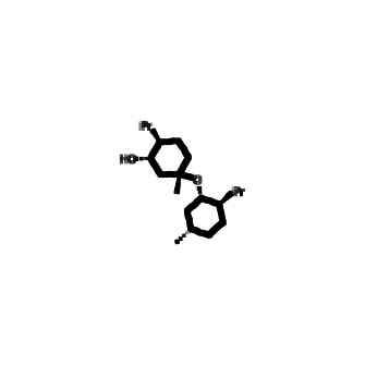 CC(C)[C@H]1CC[C@H](C)C[C@@H]1O[C@@]1(C)CC[C@H](C(C)C)[C@@H](O)C1